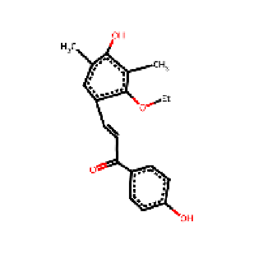 CCOc1c(/C=C/C(=O)c2ccc(O)cc2)cc(C)c(O)c1C